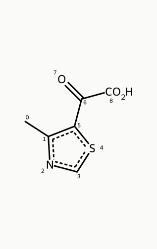 Cc1ncsc1C(=O)C(=O)O